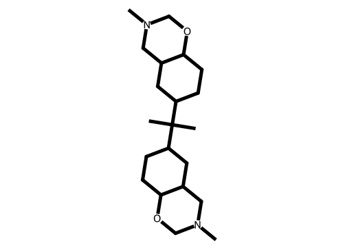 CN1COC2CCC(C(C)(C)C3CCC4OCN(C)CC4C3)CC2C1